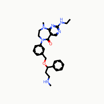 CCNc1ncc2c(n1)N(C)CCN(c1cccc(COC(CCNC)c3ccccc3)c1)C2=O